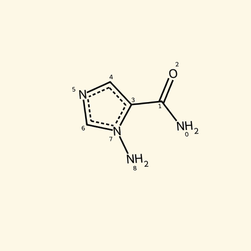 NC(=O)c1cncn1N